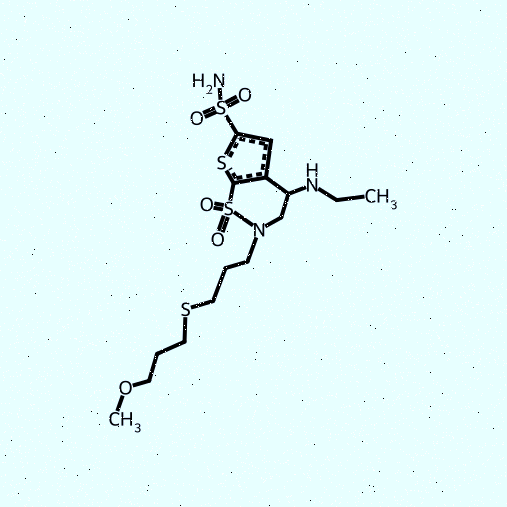 CCNC1CN(CCCSCCCOC)S(=O)(=O)c2sc(S(N)(=O)=O)cc21